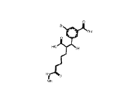 O=C(CCCCC(C(=O)O)C(S)c1cc(Br)cc(C(=O)O)c1)NO